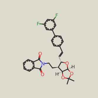 CC1(C)O[C@@H]2O[C@@H](C=Cc3ccc(-c4cc(F)cc(F)c4)cc3)[C@H](CCN3C(=O)c4ccccc4C3=O)[C@@H]2O1